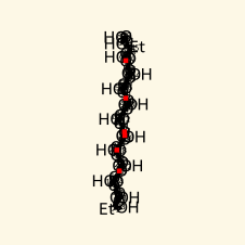 CCC(CO)COP(=O)(O)OCCOP(=O)(O)OCCOP(=O)(O)OCCOP(=O)(O)OCCOP(=O)(O)OCCOP(=O)(O)OCCOP(=O)(O)OCCOP(=O)(O)OCCOP(=O)(O)OCCOP(=O)(O)OCC(CC)COP(=O)(O)O